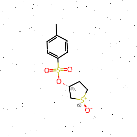 Cc1ccc(S(=O)(=O)O[C@@H]2CC[S@@+]([O-])C2)cc1